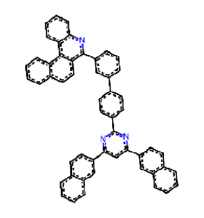 c1cc(-c2ccc(-c3nc(-c4ccc5ccccc5c4)cc(-c4ccc5ccccc5c4)n3)cc2)cc(-c2nc3ccccc3c3c2ccc2ccccc23)c1